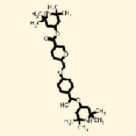 CC1(C)CC(OC(=O)C2CCC(COC3CCC(C(O)OC4CC(C)(C)NC(C)(C)C4)CC3)OC2)CC(C)(C)N1